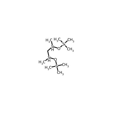 C[SiH](C[SiH](C)O[Si](C)(C)C)O[Si](C)(C)C